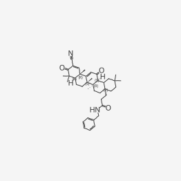 CC1(C)CC[C@]2(CCC(=O)NCc3ccccc3)CC[C@]3(C)[C@@H](C(=O)C=C4[C@@]5(C)C=C(C#N)C(=O)C(C)(C)[C@@H]5CC[C@]43C)C2C1